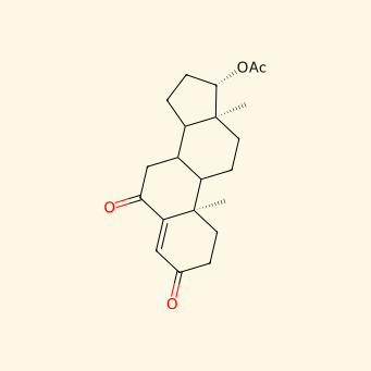 CC(=O)O[C@H]1CCC2C3CC(=O)C4=CC(=O)CC[C@]4(C)C3CC[C@@]21C